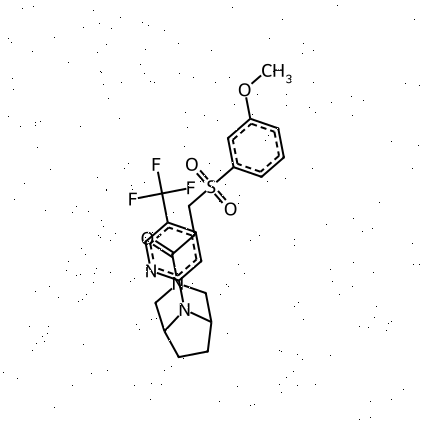 COc1cccc(S(=O)(=O)CCC(=O)N2CC3CCC(C2)N3c2ccc(C(F)(F)F)cn2)c1